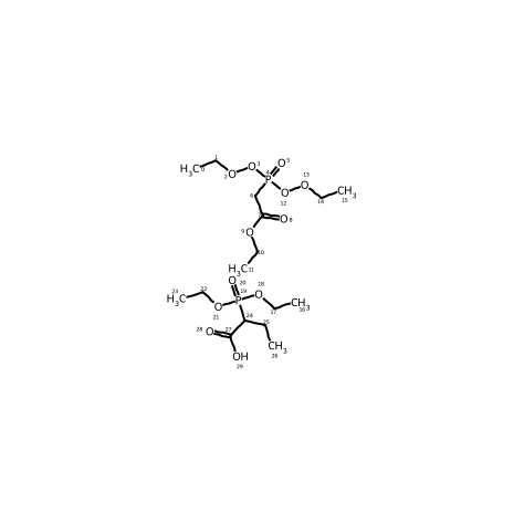 CCOOP(=O)(CC(=O)OCC)OOCC.CCOP(=O)(OCC)C(CC)C(=O)O